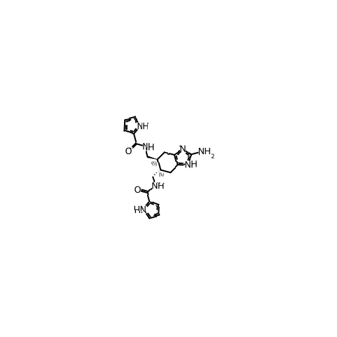 Nc1nc2c([nH]1)C[C@H](CNC(=O)c1ccc[nH]1)[C@@H](CNC(=O)c1ccc[nH]1)C2